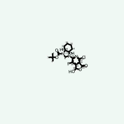 CC(C)(C)OC(=O)N1CN(c2nc(Cl)c3c(c2F)C(O)OC3=O)[C@@H]2CCCC[C@@H]21